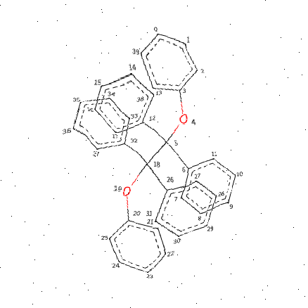 c1ccc(OC(c2ccccc2)(c2ccccc2)C(Oc2ccccc2)(c2ccccc2)c2ccccc2)cc1